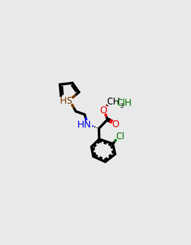 COC(=O)[C@@H](NCC[SH]1C=CC=C1)c1ccccc1Cl.Cl